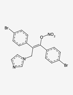 O=[N+]([O-])O/C(=C(/Cn1ccnc1)c1ccc(Br)cc1)c1ccc(Br)cc1